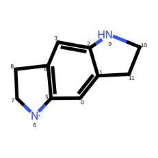 c1c2c(cc3c1[N]CC3)NCC2